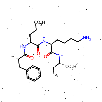 CC(C)C[C@H](NC(=O)[C@H](CCCCN)NC(=O)[C@H](CCC(=O)O)NC(=O)[C@@H](C)Cc1ccccc1)C(=O)O